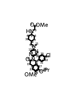 COC(=O)CNC1CCC(CN(C)c2cnc(N3C(=O)Cc4cc(OC)c(OC(C)C)cc4[C@@H]3c3ccc(Cl)cc3)cn2)CC1